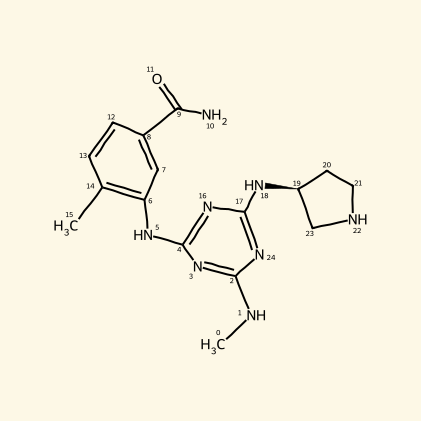 CNc1nc(Nc2cc(C(N)=O)ccc2C)nc(N[C@H]2CCNC2)n1